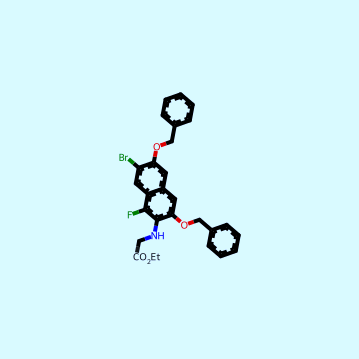 CCOC(=O)CNc1c(OCc2ccccc2)cc2cc(OCc3ccccc3)c(Br)cc2c1F